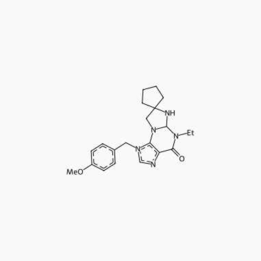 CCN1C(=O)c2ncn(Cc3ccc(OC)cc3)c2N2CC3(CCCC3)NC12